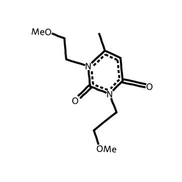 COCCn1c(C)cc(=O)n(CCOC)c1=O